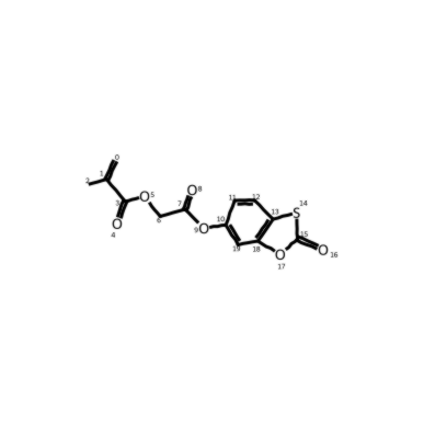 C=C(C)C(=O)OCC(=O)Oc1ccc2sc(=O)oc2c1